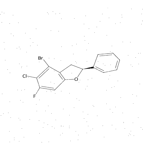 Fc1cc2c(c(Br)c1Cl)C[C@@H](c1ccccc1)O2